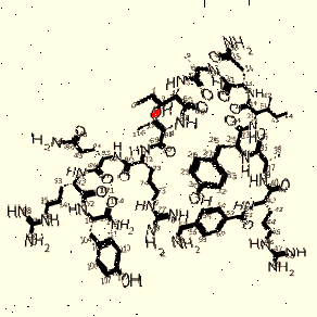 CC[C@H](C)[C@H](NC(=O)[C@H](C)NC(=O)[C@H](CC(N)=O)NC(=O)[C@@H](NC(=O)[C@H](Cc1ccc(O)cc1)NC(=O)[C@H](C)NC(=O)[C@H](CCCNC(=N)N)NC(=O)c1ccc(CN)cc1)[C@@H](C)CC)C(=O)N[C@H](C(=O)N[C@@H](CCCNC(=N)N)C(=O)N[C@@H](CCC(N)=O)C(=O)N[C@@H](CCCNC(=N)N)C(=O)N[C@@H](Cc1ccc(O)cc1)C(N)=O)[C@@H](C)O